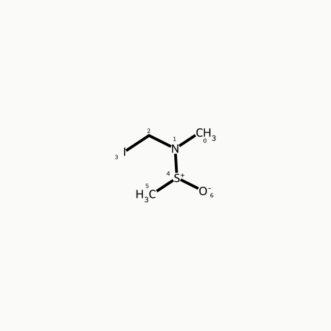 CN(CI)[S+](C)[O-]